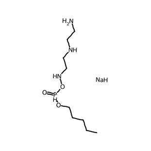 CCCCCO[PH](=O)ONCCNCCN.[NaH]